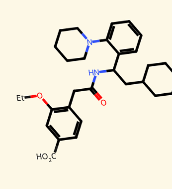 CCOc1cc(C(=O)O)ccc1CC(=O)NC(CC1CCCCC1)c1ccccc1N1CCCCC1